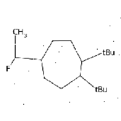 CC(F)C1CCC(C(C)(C)C)C(C(C)(C)C)CC1